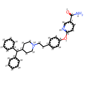 NC(=O)c1ccc(Oc2ccc(CCN3CCC(C(c4ccccc4)c4ccccc4)CC3)cc2)nc1